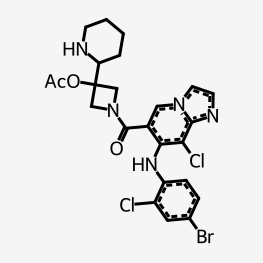 CC(=O)OC1(C2CCCCN2)CN(C(=O)c2cn3ccnc3c(Cl)c2Nc2ccc(Br)cc2Cl)C1